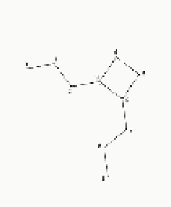 CCC[C]1CCC1CCC